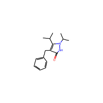 CC(C)c1c(Cc2ccccc2)c(=O)[nH]n1C(C)C